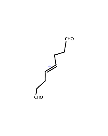 O=CCC/C=C/CCC=O